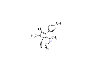 C/C=C(/C)c1c(-c2ccc(O)cc2)c(Cl)n(C)c1C#N